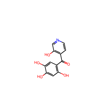 O=C(c1ccncc1O)c1cc(O)c(O)cc1O